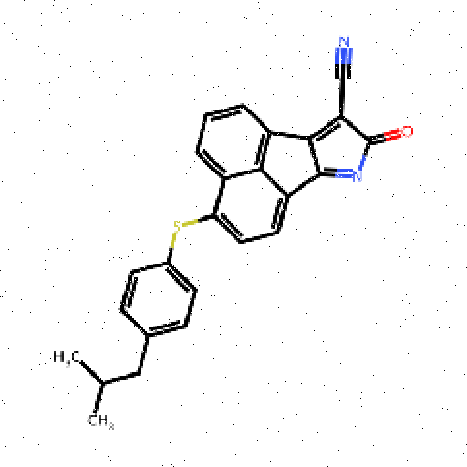 CC(C)Cc1ccc(Sc2ccc3c4c(cccc24)C2=C(C#N)C(=O)N=C23)cc1